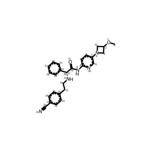 COC1CN(c2ccc(NC(=O)[C@H](NCCc3ccc(C#N)cc3)c3ccccc3)nc2)C1